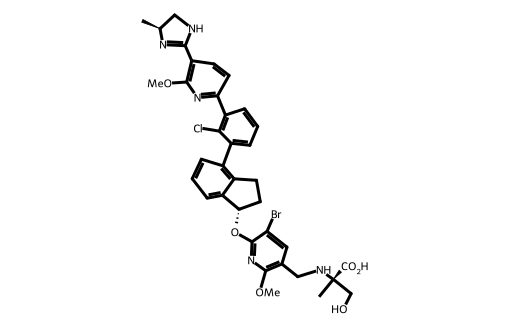 COc1nc(O[C@H]2CCc3c(-c4cccc(-c5ccc(C6=N[C@@H](C)CN6)c(OC)n5)c4Cl)cccc32)c(Br)cc1CN[C@@](C)(CO)C(=O)O